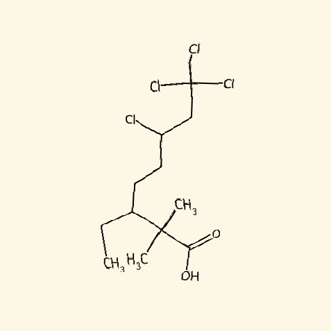 CCC(CCC(Cl)CC(Cl)(Cl)Cl)C(C)(C)C(=O)O